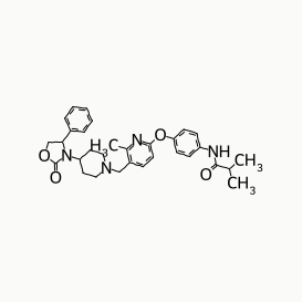 Cc1nc(Oc2ccc(NC(=O)C(C)C)cc2)ccc1CN1CCC(N2C(=O)OCC2c2ccccc2)CC1